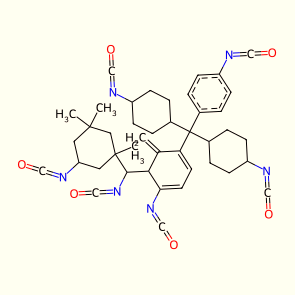 C=C1C(C(c2ccc(N=C=O)cc2)(C2CCC(N=C=O)CC2)C2CCC(N=C=O)CC2)=CC=C(N=C=O)C1C(N=C=O)C1(C)CC(N=C=O)CC(C)(C)C1